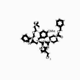 COc1ccc(CN(Cc2nc3ccccc3n2COCC[Si](C)(C)C)c2nc(N3CCN(C(=O)OCc4ccccc4)CC3)nc3c(CC(F)(F)F)cnn23)cc1